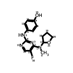 CN(c1nc(Nc2ccc(O)cc2)ncc1F)C1CCCO1